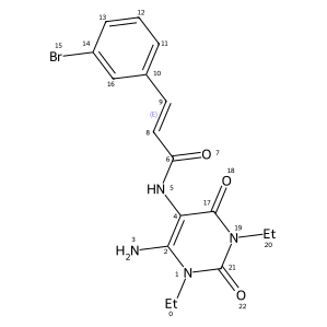 CCn1c(N)c(NC(=O)/C=C/c2cccc(Br)c2)c(=O)n(CC)c1=O